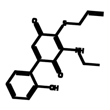 C=CCSC1=C(NCC)C(=O)C(c2ccccc2O)=CC1=O